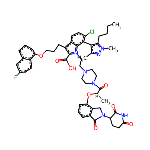 CCCCc1c(-c2c(Cl)ccc3c(CCCOc4cccc5cc(F)ccc45)c(C(=O)O)n(CCN4CCN(C(=O)[C@H](C)Oc5cccc6c5CN(C5CCC(=O)NC5=O)C6=O)CC4)c23)c(C)nn1C